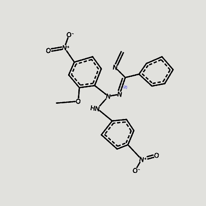 C=N/C(=N\N(Nc1ccc([N+](=O)[O-])cc1)c1ccc([N+](=O)[O-])cc1OC)c1ccccc1